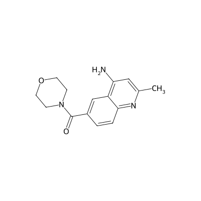 Cc1cc(N)c2cc(C(=O)N3CCOCC3)ccc2n1